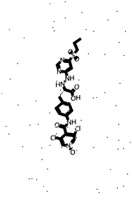 CCCS(=O)(=O)c1cc(NN[C@@H](Cc2ccc(NC(=O)c3c(Cl)c[n+]([O-])cc3Cl)cc2)C(=O)O)ncn1